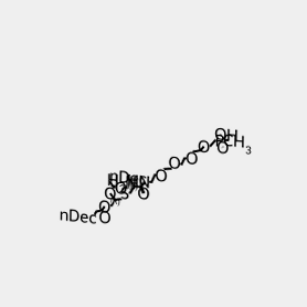 CCCCCCCCCCCC(=O)OC[C@H](CSC[C@H](N)C(=O)NCCOCCOCCOCCOCCP(C)(=O)O)OC(=O)CCCCCCCCCCC